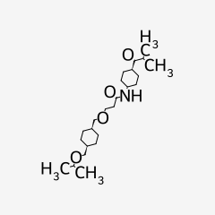 CC(C)OC[C@H]1CC[C@@H](COCCC(=O)N[C@H]2CC[C@H](C(=O)C(C)C)CC2)CC1